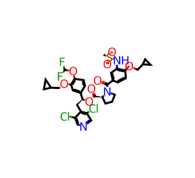 CS(=O)(=O)Nc1cc(C(=O)N2CCC[C@H]2C(=O)O[C@@H](Cc2c(Cl)cncc2Cl)c2ccc(OC(F)F)c(OCC3CC3)c2)ccc1OCC1CC1